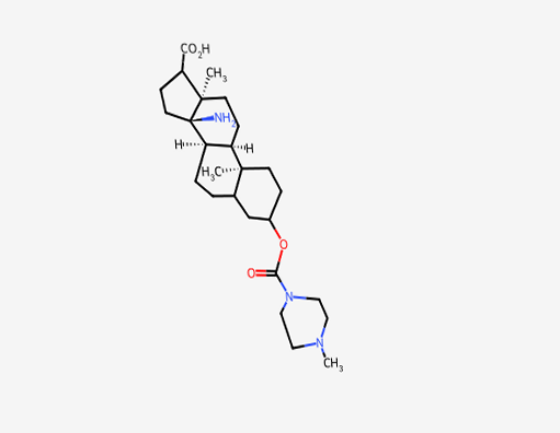 CN1CCN(C(=O)OC2CC[C@@]3(C)C(CC[C@@H]4[C@H]3CC[C@]3(C)C(C(=O)O)CC[C@@]43N)C2)CC1